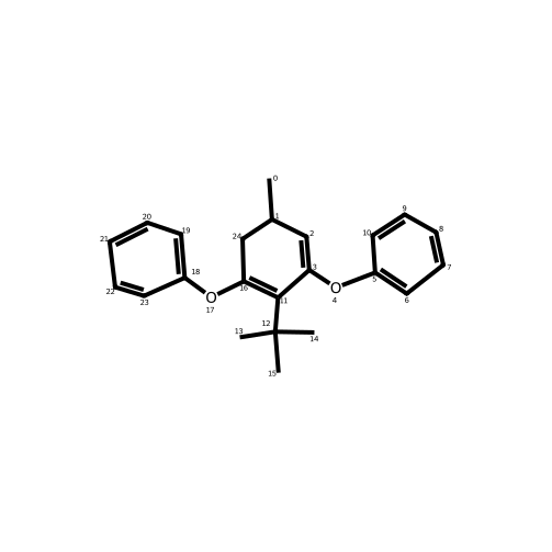 CC1C=C(Oc2ccccc2)C(C(C)(C)C)=C(Oc2ccccc2)C1